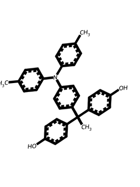 Cc1ccc(N(c2ccc(C)cc2)c2ccc(C(C)(c3ccc(O)cc3)c3ccc(O)cc3)cc2)cc1